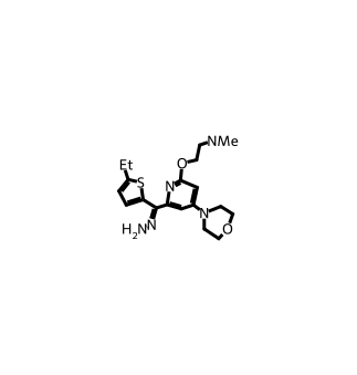 CCc1ccc(C(=NN)c2cc(N3CCOCC3)cc(OCCNC)n2)s1